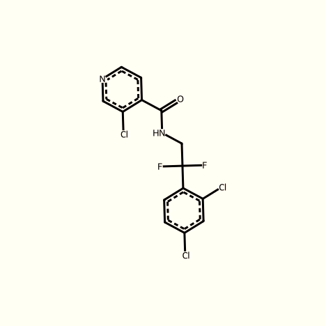 O=C(NCC(F)(F)c1ccc(Cl)cc1Cl)c1ccncc1Cl